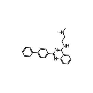 CN(C)CCNc1nc(-c2ccc(-c3ccccc3)cc2)nc2ccccc12